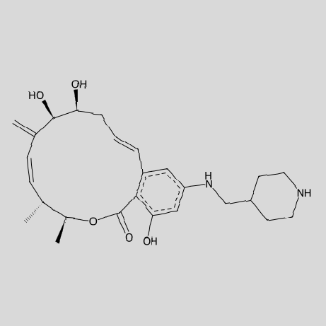 C=C1/C=C\[C@@H](C)[C@H](C)OC(=O)c2c(O)cc(NCC3CCNCC3)cc2/C=C/C[C@H](O)[C@@H]1O